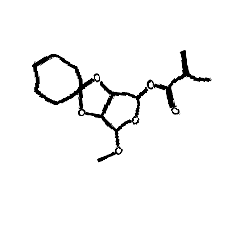 C=C(C)C(=O)OC1OC(OC)C2OC3(CCCCC3)OC12